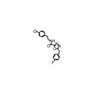 O=C(NCCc1ccc(Cl)cc1)c1nnc(Cc2ccc(F)cc2)o1